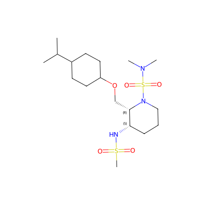 CC(C)C1CCC(OC[C@H]2[C@@H](NS(C)(=O)=O)CCCN2S(=O)(=O)N(C)C)CC1